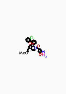 COCCCCC(O)(c1ccccc1-c1ccccc1Cl)C1CCCN(C(=O)C2CC(N)C(O)C2)C1